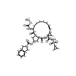 CC(C)(C)OC(=O)NC1CCCCCC=CC2CC2(C(=O)NS(=O)(=O)C2CC2)NC(=O)C2CC(OC(=O)N3Cc4ccccc4C3)CN2C1=O